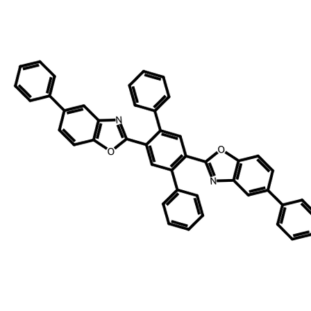 c1ccc(-c2ccc3oc(-c4cc(-c5ccccc5)c(-c5nc6cc(-c7ccccc7)ccc6o5)cc4-c4ccccc4)nc3c2)cc1